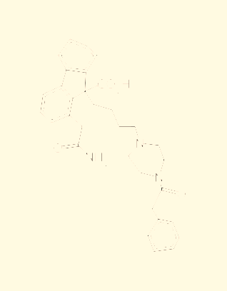 NC(=O)Cc1cccc2c1C(CCCCN1CCN(C(=O)Cc3ccccc3)CC1)(C(=O)O)c1ccccc1-2